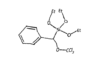 CCO[Si](OCC)(OCC)C(OC(Cl)(Cl)Cl)c1ccccc1